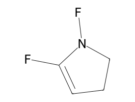 FC1=CCCN1F